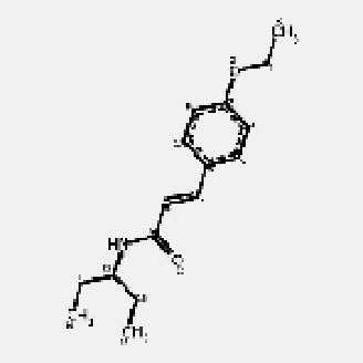 CCOc1ccc(C=CC(=O)NC(CC)CC)cc1